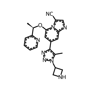 Cc1c(-c2cc(O[C@H](C)c3ccccn3)n3c(C#N)cnc3c2)nnn1C1CNC1